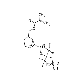 C=C(C)C(=O)OCC1CC2CC(C(=O)OC(CS(=O)(=O)O)(C(F)(F)F)C(F)(F)F)C1C2